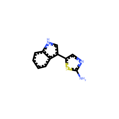 Nc1ncc(-c2c[nH]c3ccccc23)s1